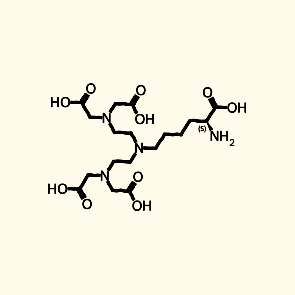 N[C@@H](CCCCN(CCN(CC(=O)O)CC(=O)O)CCN(CC(=O)O)CC(=O)O)C(=O)O